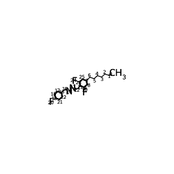 CCCCCCCc1cc(F)c(C=NN=Cc2ccc(F)cc2)c(F)c1